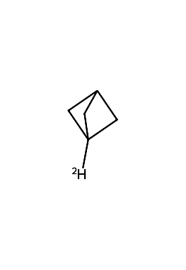 [2H]C12CC(C1)C2